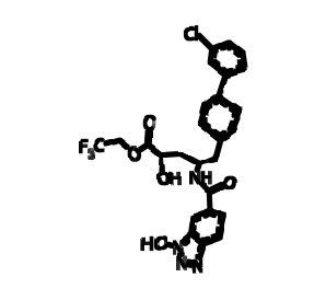 O=C(N[C@H](Cc1ccc(-c2cccc(Cl)c2)cc1)C[C@@H](O)C(=O)OCC(F)(F)F)c1ccc2nnn(O)c2c1